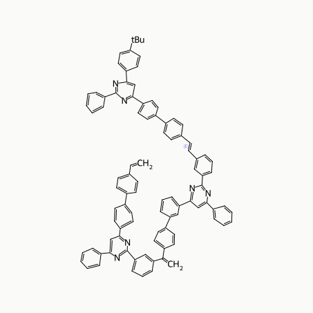 C=Cc1ccc(-c2ccc(-c3cc(-c4ccccc4)nc(-c4cccc(C(=C)c5ccc(-c6cccc(-c7cc(-c8ccccc8)nc(-c8cccc(/C=C/c9ccc(-c%10ccc(-c%11cc(-c%12ccc(C(C)(C)C)cc%12)nc(-c%12ccccc%12)n%11)cc%10)cc9)c8)n7)c6)cc5)c4)n3)cc2)cc1